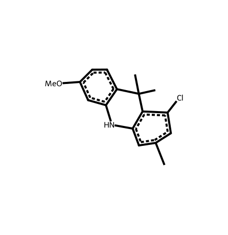 COc1ccc2c(c1)Nc1cc(C)cc(Cl)c1C2(C)C